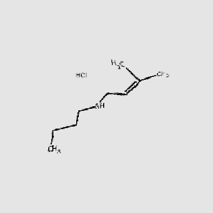 CCCCNCC=C(C)C.Cl